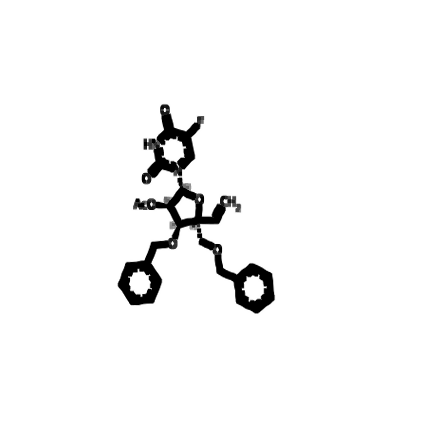 C=C[C@]1(COCc2ccccc2)O[C@@H](n2cc(F)c(=O)[nH]c2=O)[C@H](OC(C)=O)[C@@H]1OCc1ccccc1